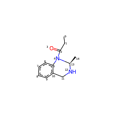 CCC(=O)N1c2ccccc2CN[C@@H]1C